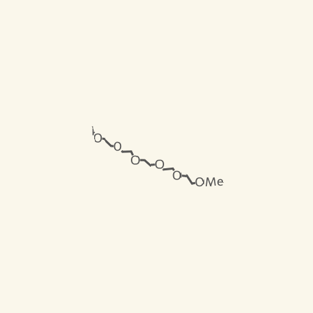 COCCOCCOCCOCCOCCOI